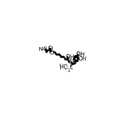 C=C(C#N)C(=O)OCCCCCCC(O)CN[C@@H](Cc1ccc(O)c(O)c1)C(=O)O